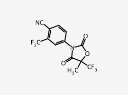 CC1(C(F)(F)F)OC(=O)N(c2ccc(C#N)c(C(F)(F)F)c2)C1=O